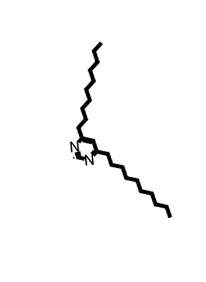 CCCCCCCCCCc1cc(CCCCCCCCCC)n[c]n1